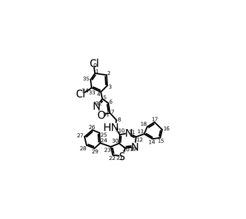 Clc1ccc(-c2cc(CNc3nc(-c4ccccc4)nc4scc(-c5ccccc5)c34)on2)c(Cl)c1